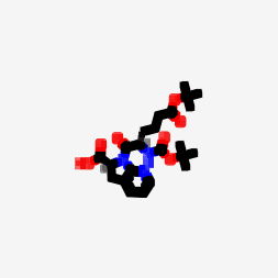 CC(C)(C)OC(=O)CCC[C@H](NC(=O)OC(C)(C)C)C(=O)N1c2ncccc2C[C@H]1C(=O)O